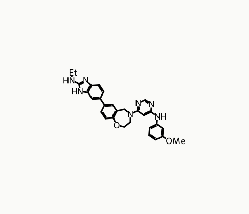 CCNc1nc2ccc(-c3ccc4c(c3)CN(c3cc(Nc5cccc(OC)c5)ncn3)CCO4)cc2[nH]1